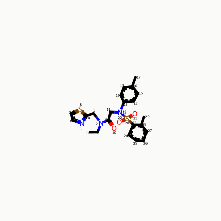 CCN(Cc1nccs1)C(=O)CN(c1ccc(C)cc1)S(=O)(=O)c1ccccc1C